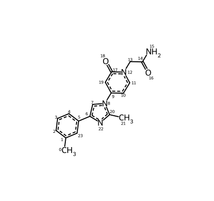 Cc1cccc(-c2cn(-c3ccn(CC(N)=O)c(=O)c3)c(C)n2)c1